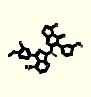 COc1ccc(-c2nn([C@@H](C)c3cc4scc(Cl)n4c(=O)c3-c3cccc(P)c3)c3ncnc(N)c23)cc1F